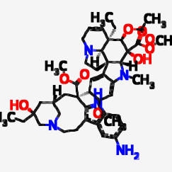 CC[C@]1(O)C[C@H]2CN(CCc3c([nH]c4ccc(N)cc34)[C@@](C(=O)OC)(C3C=C4C(=CC3OC)N(C)[C@H]3[C@@](O)(C(=O)OC)[C@H](OC(C)=O)[C@]5(CC)C=CCN6CC[C@]43[C@@H]65)C2)C1